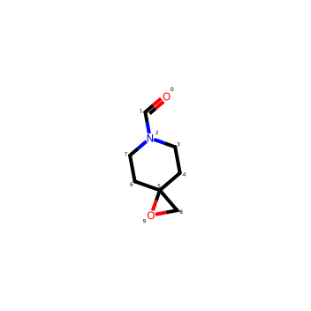 O=CN1CCC2(CC1)CO2